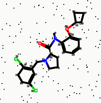 CN(C(=O)[C@@H]1CCCN1CC1=C(Cl)CCC(Cl)=C1)c1ccccc1OC1CCC1